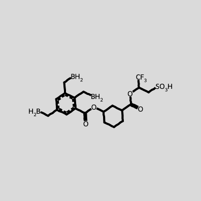 BCc1cc(CB)c(CB)c(C(=O)OC2CCCC(C(=O)OC(CS(=O)(=O)O)C(F)(F)F)C2)c1